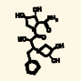 NC(=O)C1[C@@H](O)[C@H](O)CN1C(=O)[C@H](O)[C@H](Cc1ccccc1)N1C[C@@H](O)[C@H](O)C1